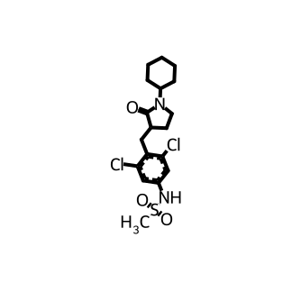 CS(=O)(=O)Nc1cc(Cl)c(CC2CCN(C3CCCCC3)C2=O)c(Cl)c1